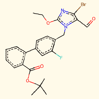 CCOc1nc(Br)c(C=O)n1Cc1ccc(-c2ccccc2C(=O)OC(C)(C)C)cc1F